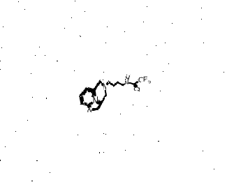 O=C(NCCCCN1Cc2cccc3ncc(n23)C1)C(F)(F)F